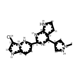 Cn1cc(-c2nc(-c3ccc4ncc(Cl)n4n3)nc3[nH]ccc23)cn1